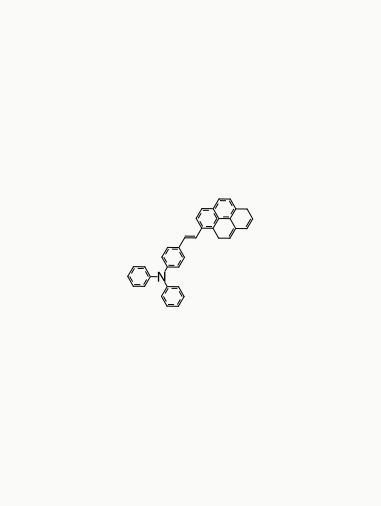 C1=CC2=CCc3c(C=Cc4ccc(N(c5ccccc5)c5ccccc5)cc4)ccc4ccc(c2c34)C1